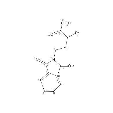 CCC(CCN1C(=O)c2ccccc2C1=O)C(=O)C(=O)O